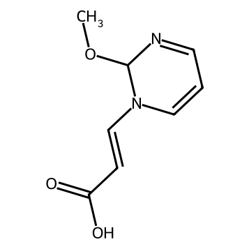 COC1N=CC=CN1C=CC(=O)O